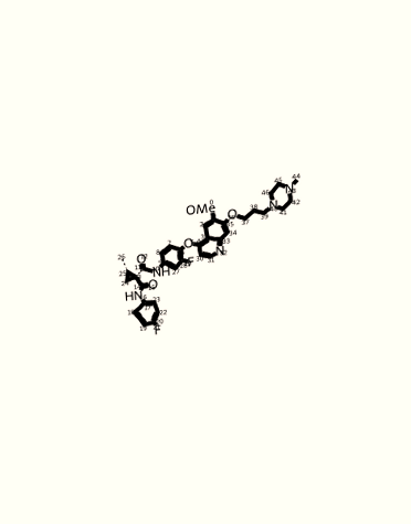 COc1cc2c(Oc3ccc(NC(=O)[C@]4(C(=O)Nc5ccc(F)cc5)C[C@@H]4C)cc3F)ccnc2cc1OCCCN1CCN(C)CC1